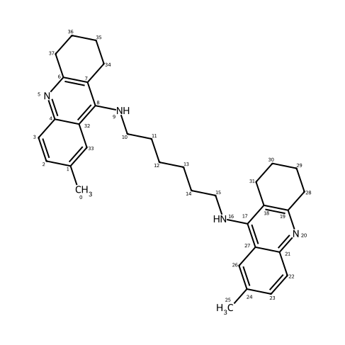 Cc1ccc2nc3c(c(NCCCCCCNc4c5c(nc6ccc(C)cc46)CCCC5)c2c1)CCCC3